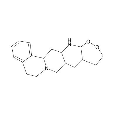 c1ccc2c(c1)CCN1CC3CC4CCOOC4NC3CC21